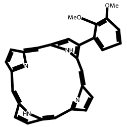 COc1cccc(-c2cc3cc4nc(cc5ccc(cc6nc(cc2[nH]3)C=C6)[nH]5)C=C4)c1OC